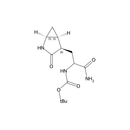 CC(C)(C)OC(=O)NC(C[C@H]1C(=O)N[C@H]2C[C@H]21)C(N)=O